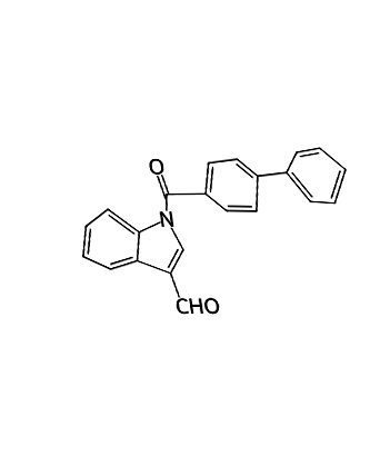 O=Cc1cn(C(=O)c2ccc(-c3ccccc3)cc2)c2ccccc12